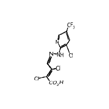 O=C(O)/C(Cl)=C(Cl)/C=N\Nc1ncc(C(F)(F)F)cc1Cl